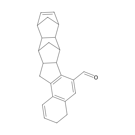 O=Cc1cc2c(c3c1C1C(C3)C3CC1C1C4C=CC(C4)C31)C=CCC2